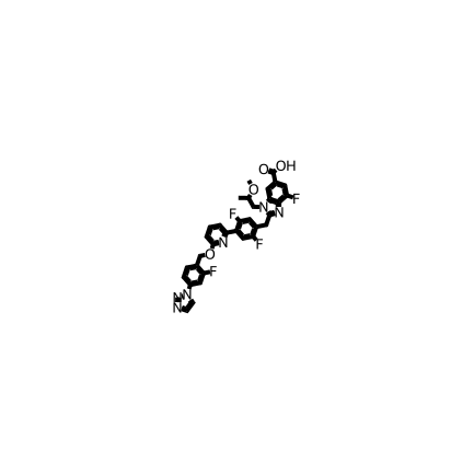 COC(C)Cn1c(Cc2cc(F)c(-c3cccc(OCc4ccc(-n5ccnn5)cc4F)n3)cc2F)nc2c(F)cc(C(=O)O)cc21